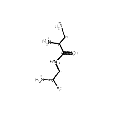 CC(=O)C(N)CNC(=O)C(N)CN